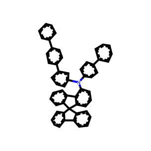 c1ccc(-c2ccc(-c3cccc(N(c4ccc(-c5ccccc5)cc4)c4cccc5c4-c4ccccc4C54c5ccccc5-c5ccccc54)c3)cc2)cc1